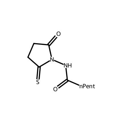 CCCCCC(=O)NN1C(=O)CCC1=S